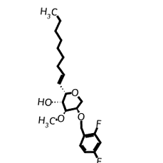 CCCCCCCC=C[C@@H]1OC[C@@H](OCc2ccc(F)cc2F)[C@H](OC)[C@@H]1O